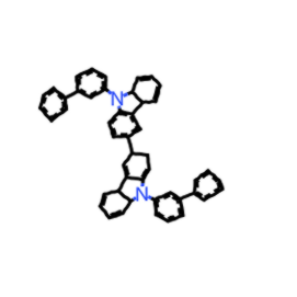 C1=CC2C3=CC(c4ccc5c(c4)C4C=CC=CC4N5c4cccc(-c5ccccc5)c4)CC=C3N(c3cccc(-c4ccccc4)c3)C2C=C1